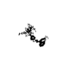 Cc1cc(CCOc2ccc(C(=O)NC3(CC(=O)NO)CNC(C)(C)C3)cc2)c2ccccc2n1